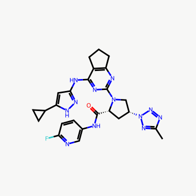 Cc1nnn([C@@H]2C[C@H](C(=O)Nc3ccc(F)nc3)N(c3nc4c(c(Nc5cc(C6CC6)[nH]n5)n3)CCC4)C2)n1